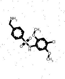 COc1cc(NS(=O)(=O)c2ccc(CN)cc2)c(OC)cc1Cl